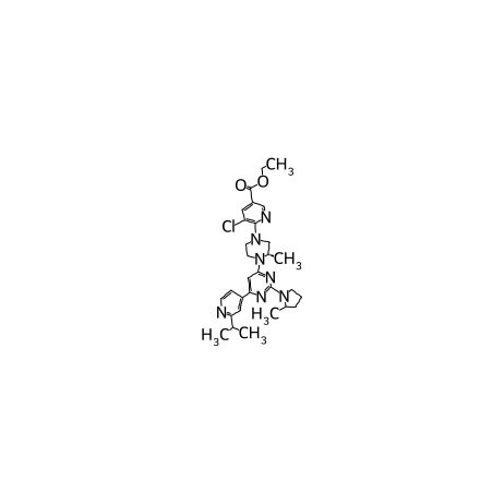 CCOC(=O)c1cnc(N2CCN(c3cc(-c4ccnc(C(C)C)c4)nc(N4CCCC4C)n3)[C@H](C)C2)c(Cl)c1